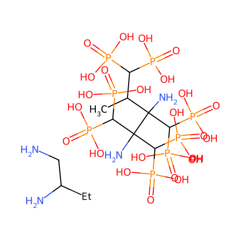 CC(C(P(=O)(O)O)P(=O)(O)O)C(N)(C(P(=O)(O)O)P(=O)(O)O)C(N)(C(P(=O)(O)O)P(=O)(O)O)C(P(=O)(O)O)P(=O)(O)O.CCC(N)CN